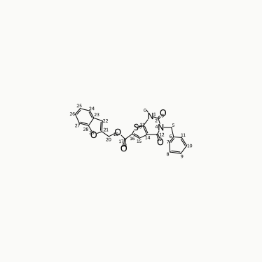 Cn1c(=O)n(Cc2ccccc2)c(=O)c2cc(C(=O)OCc3cc4ccccc4o3)sc21